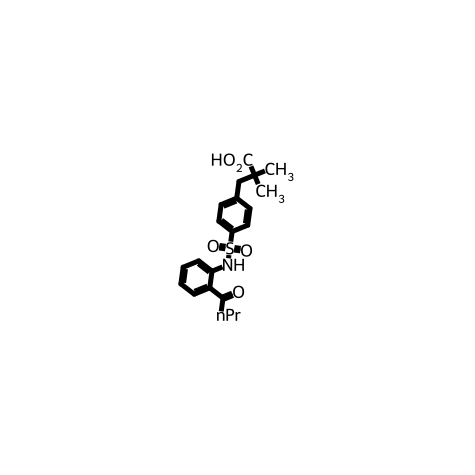 CCCC(=O)c1ccccc1NS(=O)(=O)c1ccc(CC(C)(C)C(=O)O)cc1